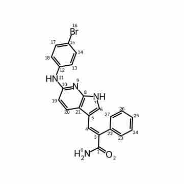 NC(=O)/C(=C/c1c[nH]c2nc(Nc3ccc(Br)cc3)ccc12)c1ccccc1